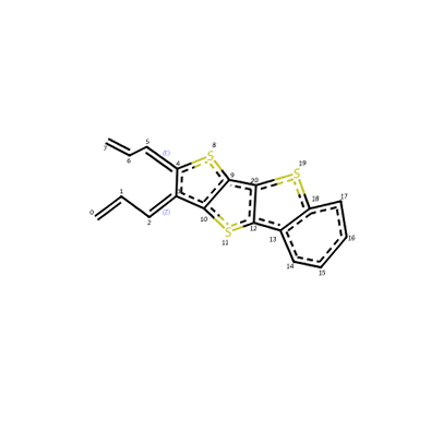 C=C/C=c1\c(=C/C=C)sc2c1sc1c3ccccc3sc21